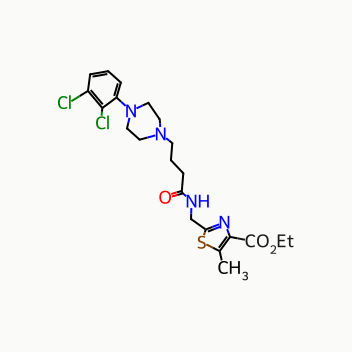 CCOC(=O)c1nc(CNC(=O)CCCN2CCN(c3cccc(Cl)c3Cl)CC2)sc1C